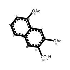 CC(=O)Oc1cc2c(OC(C)=O)cccc2cc1C(=O)O